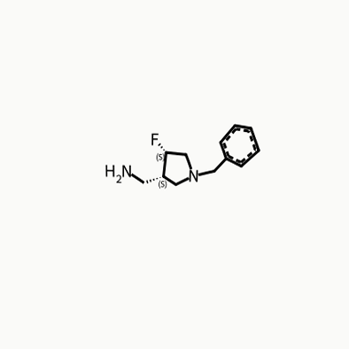 NC[C@H]1CN(Cc2ccccc2)C[C@H]1F